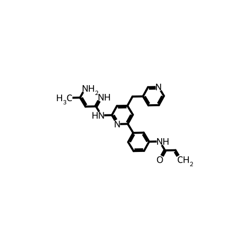 C=CC(=O)Nc1cccc(-c2cc(Cc3cccnc3)cc(NC(=N)/C=C(/C)N)n2)c1